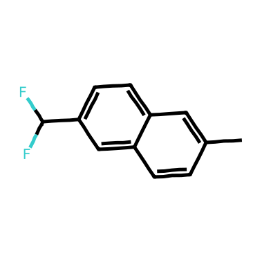 Cc1ccc2cc([C](F)F)ccc2c1